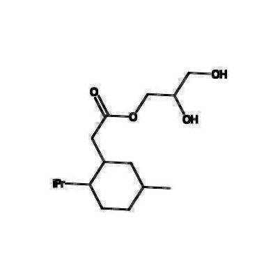 CC1CCC(C(C)C)C(CC(=O)OCC(O)CO)C1